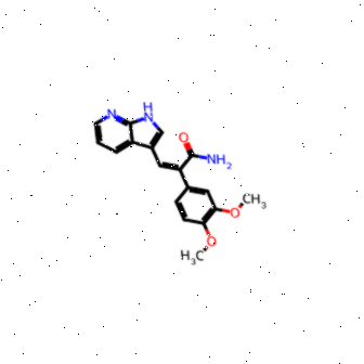 COc1ccc(C(=Cc2c[nH]c3ncccc23)C(N)=O)cc1OC